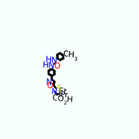 CCSC(=NC(C(=O)O)C(C)C)c1cc(-c2ccc(NC(=O)Nc3ccc(C)cc3)cc2)no1